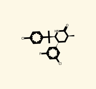 C[C@H]1C[C@H](c2cc(F)cc(Cl)c2)[C@@H](C(C)(C)c2ccc(Cl)cc2)NC1=O